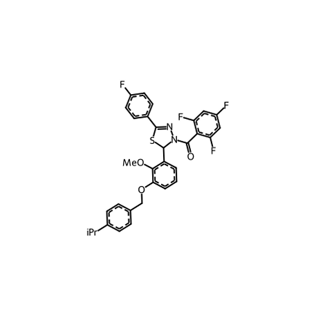 COc1c(OCc2ccc(C(C)C)cc2)cccc1C1SC(c2ccc(F)cc2)=NN1C(=O)c1c(F)cc(F)cc1F